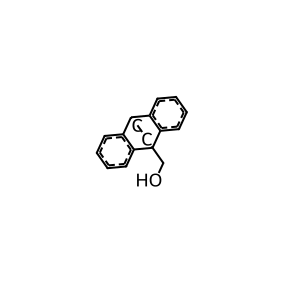 OCC12CCC(c3ccccc31)c1ccccc12